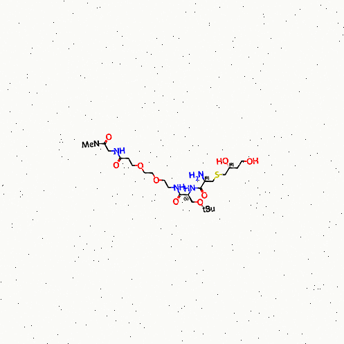 CNC(=O)CNC(=O)CCOCCOCCNC(=O)[C@H](COC(C)(C)C)NC(=O)[C@@H](N)CSC[C@H](O)CCO